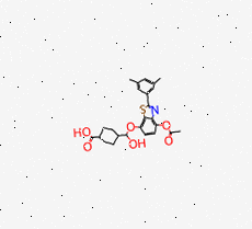 CC(=O)Oc1ccc(OC(O)C2CCC(C(=O)O)CC2)c2sc(-c3cc(C)cc(C)c3)nc12